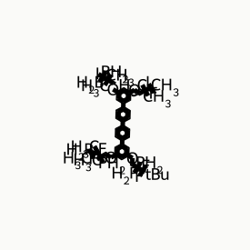 BC(B)(I)C(C)(C)COc1cc(OCC(C)(C)C(C)(F)I)cc(-c2ccc(-c3ccc(-c4cc(OCC(C)(P)C(C)(F)C(C)(F)P)cc(OCC(P)(P)C(F)(F)C(C)(C)C)c4)cc3)cc2)c1